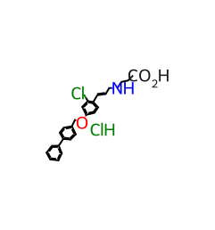 Cl.O=C(O)CCNCC=Cc1ccc(OCc2ccc(-c3ccccc3)cc2)cc1Cl